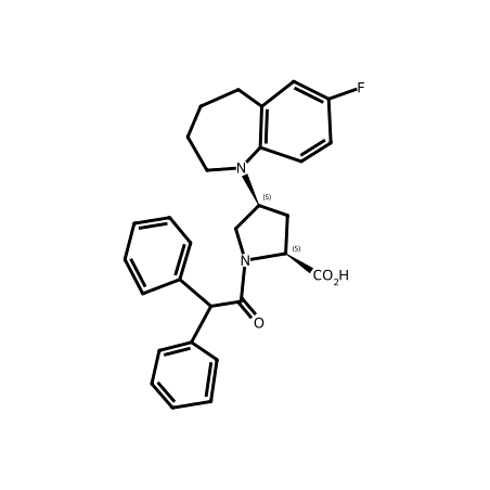 O=C(O)[C@@H]1C[C@H](N2CCCCc3cc(F)ccc32)CN1C(=O)C(c1ccccc1)c1ccccc1